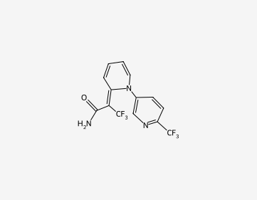 NC(=O)C(=C1C=CC=CN1c1ccc(C(F)(F)F)nc1)C(F)(F)F